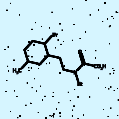 CCN(CCC1CC(C)CCC1C(C)C)C(=O)C(=O)O